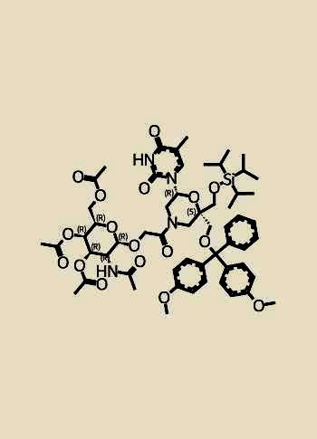 COc1ccc(C(OC[C@]2(CO[Si](C(C)C)(C(C)C)C(C)C)CN(C(=O)CO[C@@H]3O[C@H](COC(C)=O)[C@H](OC(C)=O)[C@H](OC(C)=O)[C@H]3NC(C)=O)C[C@H](n3cc(C)c(=O)[nH]c3=O)O2)(c2ccccc2)c2ccc(OC)cc2)cc1